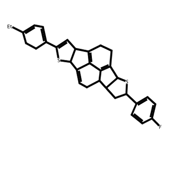 CCC1=CC=C(C2=CC3C4=C5C(=CCC6C5=C(CC4)C4SC(c5ccc(F)cc5)CC64)C3S2)CC1